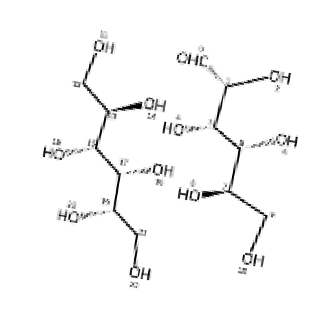 O=C[C@H](O)[C@@H](O)[C@H](O)[C@H](O)CO.OC[C@@H](O)[C@@H](O)[C@H](O)[C@@H](O)CO